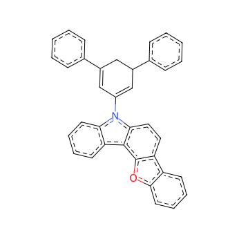 C1=C(c2ccccc2)CC(c2ccccc2)C=C1n1c2ccccc2c2c3oc4ccccc4c3ccc21